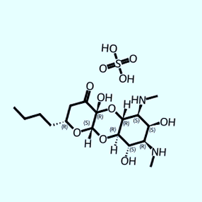 CCCC[C@@H]1CC(=O)[C@]2(O)O[C@@H]3[C@@H](NC)[C@@H](O)[C@@H](NC)[C@H](O)[C@H]3O[C@@H]2O1.O=S(=O)(O)O